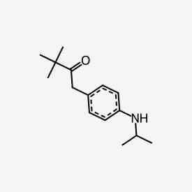 CC(C)Nc1ccc(CC(=O)C(C)(C)C)cc1